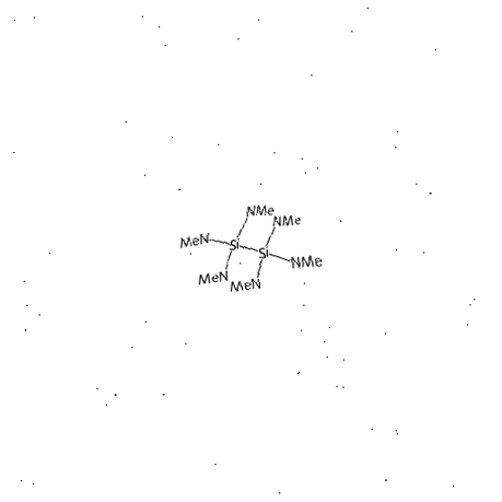 CN[Si](NC)(NC)[Si](NC)(NC)NC